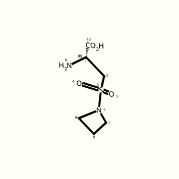 N[C@@H](CS(=O)(=O)N1CCC1)C(=O)O